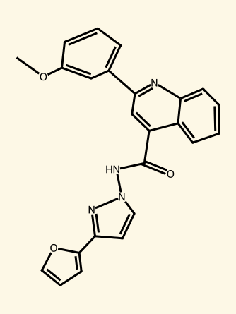 COc1cccc(-c2cc(C(=O)Nn3ccc(-c4ccco4)n3)c3ccccc3n2)c1